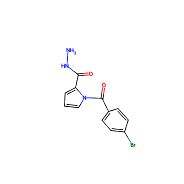 NNC(=O)c1cccn1C(=O)c1ccc(Br)cc1